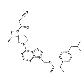 CC(C)Cc1ccc(C(C)C(=O)OCn2ccc3c(N4CC[C@]5(C4)[C@@H](C)CN5C(=O)CC#N)ncnc32)cc1